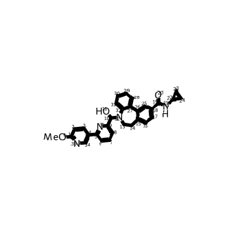 COc1ccc(-c2cccc(C(O)N3CCc4ccc(C(=O)NC5CC5)cc4-c4ccccc43)n2)cn1